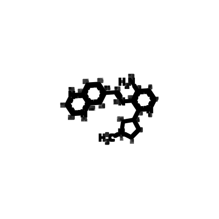 CN1CCC(c2nccc(N)c2N=Cc2ccc3nccnc3c2)C1